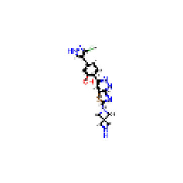 Oc1cc(-c2c[nH]nc2F)ccc1-c1cc2sc(N3CC4(CNC4)C3)nc2nn1